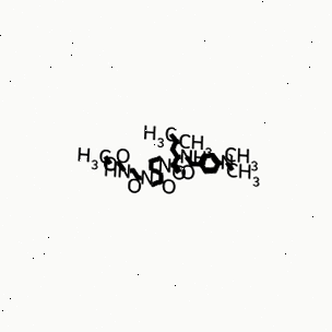 COC(=O)NCC(=O)N1CC(=O)C2C1CCN2C(=O)C(CC(C)C)NC(=O)c1ccc(N(C)C)cc1